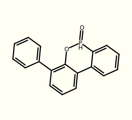 O=[PH]1Oc2c(-c3ccccc3)cccc2-c2ccccc21